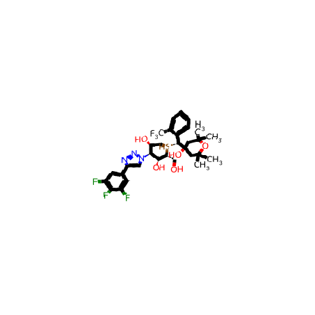 CC1(C)CC(O)([C@@H](c2ccccc2C(F)(F)F)[SH]2C[C@H](O)[C@H](n3cc(-c4cc(F)c(F)c(F)c4)nn3)[C@@H](O)[C@H]2CO)CC(C)(C)O1